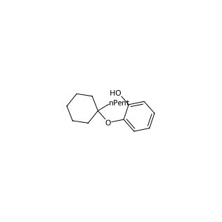 CCCCCC1(Oc2ccccc2O)CCCCC1